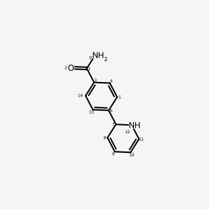 NC(=O)c1ccc(C2C=CC=CN2)cc1